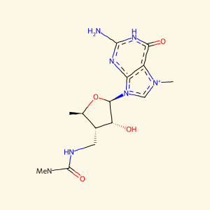 CNC(=O)NC[C@H]1[C@@H](O)[C@H](n2c[n+](C)c3c(=O)[nH]c(N)nc32)O[C@@H]1C